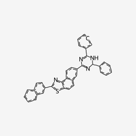 c1ccc(C2=NC(c3ccc4c(ccc5sc(-c6ccc7ccccc7c6)nc54)c3)=NC(c3ccccc3)N2)cc1